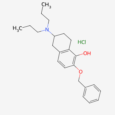 CCCN(CCC)C1CCc2c(ccc(OCc3ccccc3)c2O)C1.Cl